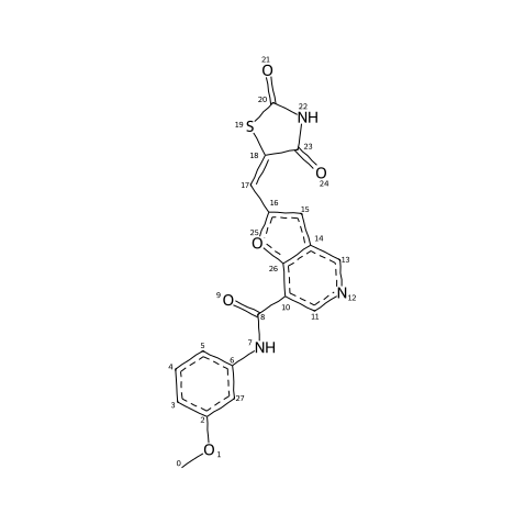 COc1cccc(NC(=O)c2cncc3cc(C=C4SC(=O)NC4=O)oc23)c1